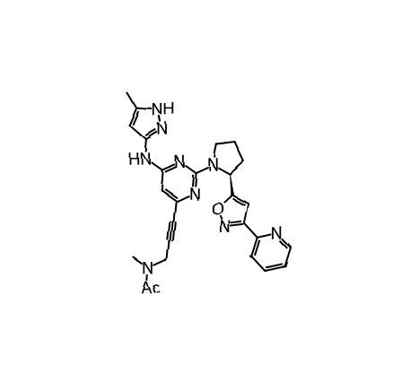 CC(=O)N(C)CC#Cc1cc(Nc2cc(C)[nH]n2)nc(N2CCC[C@H]2c2cc(-c3ccccn3)no2)n1